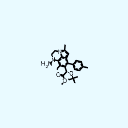 COC(=O)[C@@H](OC(C)(C)C)c1c(C)c2c3c(cc(C)n3CCN2N)c1-c1ccc(C)cc1